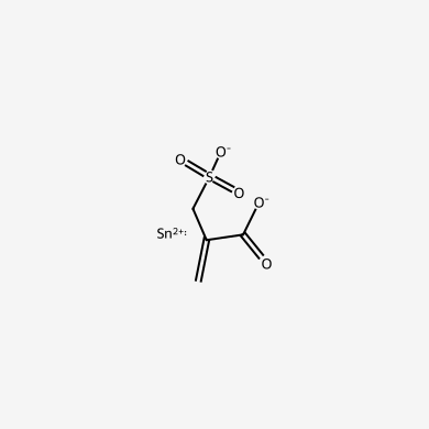 C=C(CS(=O)(=O)[O-])C(=O)[O-].[Sn+2]